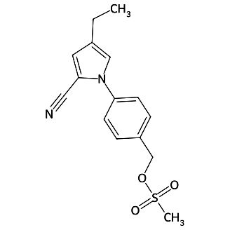 CCc1cc(C#N)n(-c2ccc(COS(C)(=O)=O)cc2)c1